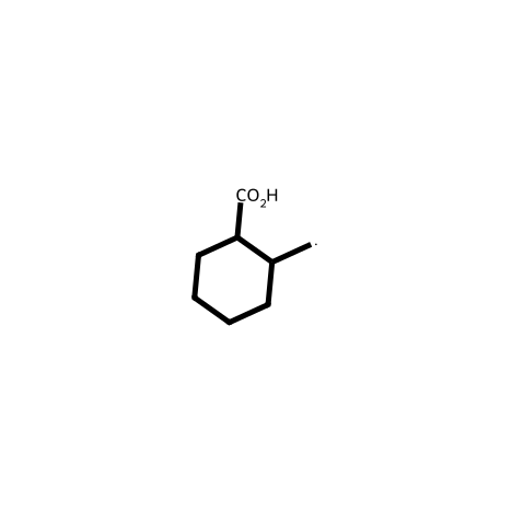 [CH2]C1CCCCC1C(=O)O